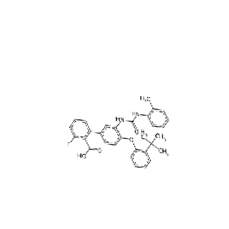 Cc1ccccc1NC(=O)Nc1cc(-c2cccc(F)c2C(=O)O)ccc1Oc1ccccc1C(C)(C)C